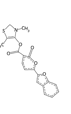 CC1=C(OC(=O)c2ccc(-c3cc4ccccc4o3)oc2=O)N(C)CS1